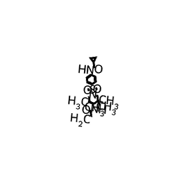 C=CC(=O)NC1C(C)(C)CN(S(=O)(=O)c2ccc(NC(=O)C3CC3)cc2)CC1(C)C